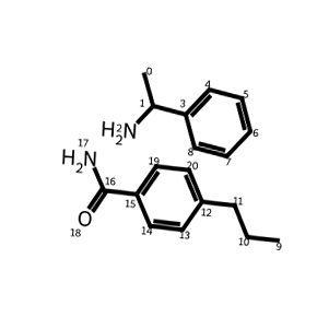 CC(N)c1ccccc1.CCCc1ccc(C(N)=O)cc1